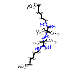 CC(C)(N=NC(C)(C)C(=N)NCCCCCC(=O)O)C(=N)NCCCCCC(=O)O